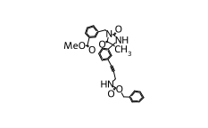 COC(=O)c1cccc(CN2C(=O)NC(C)(c3cccc(C#CCNC(=O)OCc4ccccc4)c3)C2=O)c1